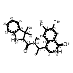 CC(c1c[nH]c(=O)c2cc(F)c(F)cc12)N(C)C(=O)C1Nc2ccccc2C1(C)C